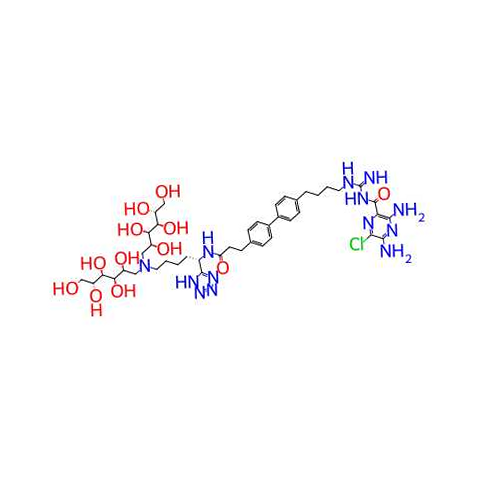 N=C(NCCCCc1ccc(-c2ccc(CCC(=O)N[C@@H](CCCCN(C[C@H](O)[C@@H](O)[C@H](O)[C@H](O)CO)C[C@H](O)[C@@H](O)[C@H](O)[C@H](O)CO)c3nnn[nH]3)cc2)cc1)NC(=O)c1nc(Cl)c(N)nc1N